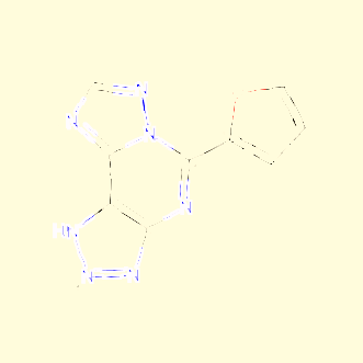 c1coc(-c2nc3nn[nH]c3c3ncnn23)c1